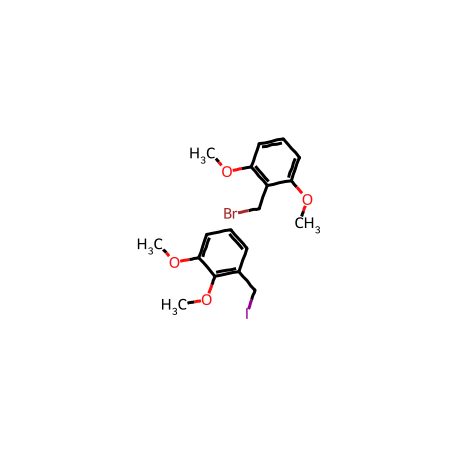 COc1cccc(CI)c1OC.COc1cccc(OC)c1CBr